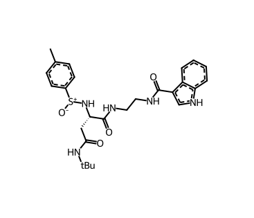 Cc1ccc([S+]([O-])N[C@@H](CC(=O)NC(C)(C)C)C(=O)NCCNC(=O)c2c[nH]c3ccccc23)cc1